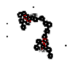 CC1(C)c2cc(-c3ccccc3)ccc2-c2ccc(N(c3ccc(-c4ccc(-c5cccc6cc(-c7cccc(-c8ccc9c(c8)C(C)(C)c8cc(N(c%10cccc(-c%11ccccc%11)c%10-c%10ccccc%10-c%10ccccc%10)c%10cccc%11ccccc%10%11)ccc8-9)c7)ccc56)cc4)cc3)c3cccc(-c4ccccc4)c3-c3ccccc3-c3ccccc3)cc21